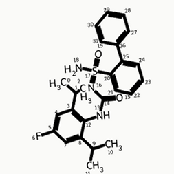 CC(C)c1cc(F)cc(C(C)C)c1NC(=O)N=S(N)(=O)c1ccccc1-c1ccccc1